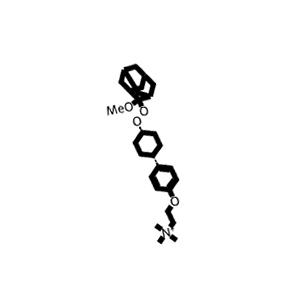 COC1(OO[C@H]2CC[C@@H](c3ccc(OCC[N+](C)(C)C)cc3)CC2)C2CC3CC(C2)CC1C3